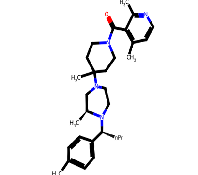 CCC[C@@H](c1ccc(C)cc1)N1CCN(C2(C)CCN(C(=O)c3c(C)ccnc3C)CC2)C[C@@H]1C